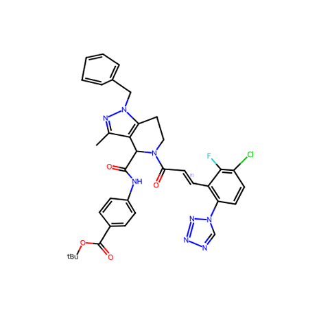 Cc1nn(Cc2ccccc2)c2c1C(C(=O)Nc1ccc(C(=O)OC(C)(C)C)cc1)N(C(=O)/C=C/c1c(-n3cnnn3)ccc(Cl)c1F)CC2